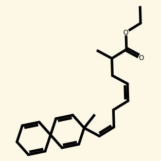 CCOC(=O)C(C)C/C=C\C/C=C\C1(C)C=CC2(C=CCC=C2)C=C1